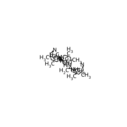 C=C(NCC(C)(C)CC(C)(C)CC#N)NCC(C)(C)CC(C)(C)Cn1c(=C)n(CC(C)(C)CC(C)(C)CC#N)c1=C